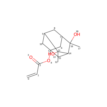 C=CC(=O)OC12CC3CC(C1)C(C)(O)C(C2)C3(C)O